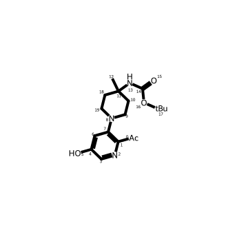 CC(=O)c1ncc(O)cc1N1CCC(C)(NC(=O)OC(C)(C)C)CC1